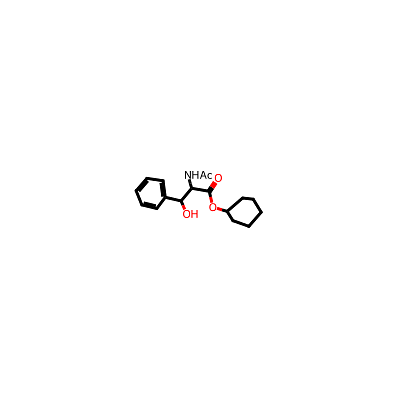 CC(=O)NC(C(=O)OC1CCCCC1)C(O)c1ccccc1